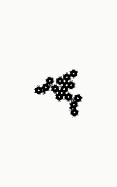 c1ccc(-c2cccc(-c3c(-c4ccccc4)c4cc5c(-c6ccc(-n7c8ccccc8c8cc9c(cc87)sc7ccccc79)cc6)c6ccccc6c(-c6ccc(-n7c8ccccc8c8cc9c(cc87)sc7ccccc79)cc6)c5cc4c4ccccc34)c2)cc1